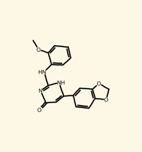 COc1ccccc1Nc1nc(=O)cc(-c2ccc3c(c2)OCO3)[nH]1